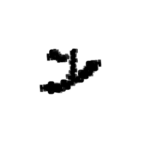 CCCCCCCCCCCC(C)P(CCOC(=O)Oc1ccc(S(=O)(=O)O)cc1)CCOC(=O)Oc1ccc(S(=O)(=O)O)cc1.Cl.[Cl-].[Cl-].[Na+].[Na+]